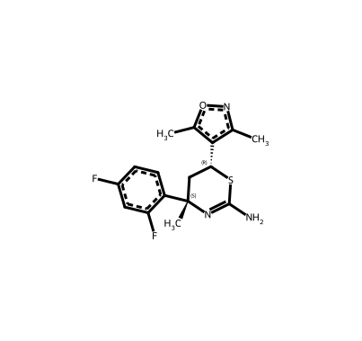 Cc1noc(C)c1[C@H]1C[C@@](C)(c2ccc(F)cc2F)N=C(N)S1